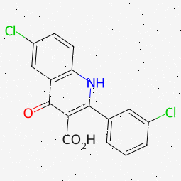 O=C(O)c1c(-c2cccc(Cl)c2)[nH]c2ccc(Cl)cc2c1=O